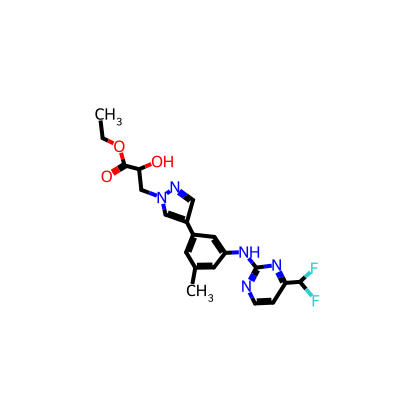 CCOC(=O)C(O)Cn1cc(-c2cc(C)cc(Nc3nccc(C(F)F)n3)c2)cn1